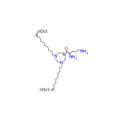 CCCCCCCC/C=C\CCCCCCCCN1CCN(CCCCCCCC/C=C\CCCCCCCC)CCN(C(=O)[C@@H](N)CCCN)CC1